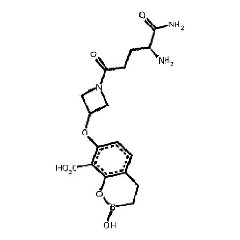 NC(=O)[C@@H](N)CCC(=O)N1CC(Oc2ccc3c(c2C(=O)O)OB(O)CC3)C1